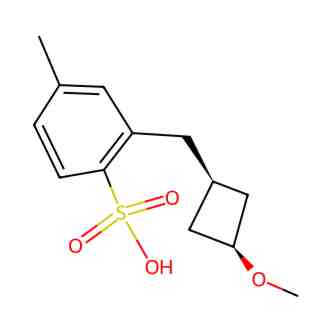 CO[C@H]1C[C@@H](Cc2cc(C)ccc2S(=O)(=O)O)C1